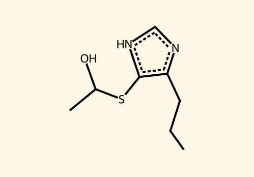 CCCc1nc[nH]c1SC(C)O